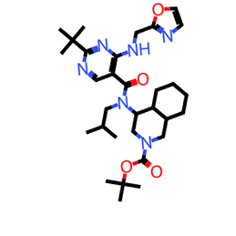 CC(C)CN(C(=O)c1cnc(C(C)(C)C)nc1NCc1ncco1)C1CN(C(=O)OC(C)(C)C)CC2CCCCC21